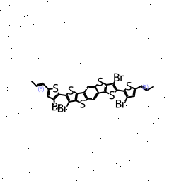 C/C=C/c1cc(Br)c(-c2sc3c(sc4cc5c(cc43)sc3c(Br)c(-c4sc(/C=C/C)cc4Br)sc35)c2Br)s1